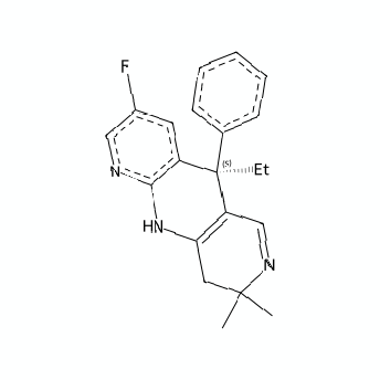 CC[C@]1(c2ccccc2)C2=C(CC(C)(C)N=C2)Nc2ncc(F)cc21